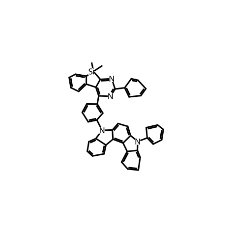 C[Si]1(C)c2ccccc2-c2c(-c3cccc(-n4c5ccccc5c5c6c7ccccc7n(-c7ccccc7)c6ccc54)c3)nc(-c3ccccc3)nc21